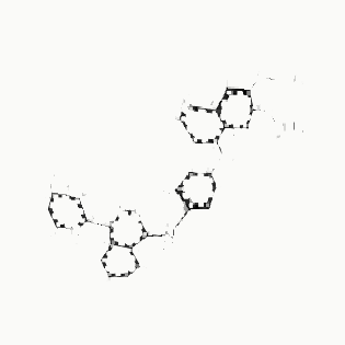 COc1cc2nccc(Oc3ccc(Nc4nnc(-c5cc(C)ccn5)c5ccccc45)cc3)c2cc1OC